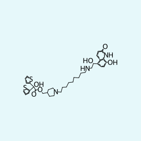 O=C(OCC1CCN(CCCCCCCCCNCC(O)c2ccc(O)c3[nH]c(=O)ccc23)CC1)C(O)(c1cccs1)c1cccs1